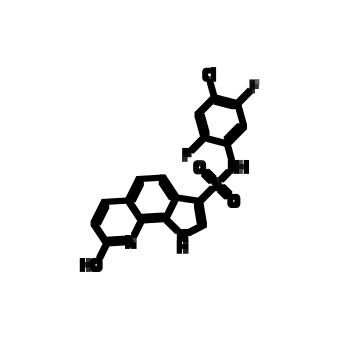 O=S(=O)(Nc1cc(F)c(Cl)cc1F)c1c[nH]c2c1ccc1ccc(O)nc12